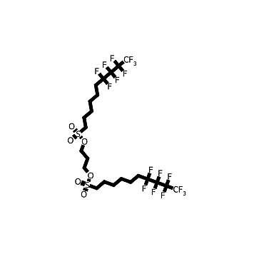 O=S(=O)(CCCCCCC(F)(F)C(F)(F)C(F)(F)C(F)(F)F)OCCCOS(=O)(=O)CCCCCCC(F)(F)C(F)(F)C(F)(F)C(F)(F)F